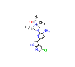 CC(=O)N1[C@H](C)CN(c2nc(C3CNc4ncc(Cl)cc43)ccc2N)C[C@@H]1C